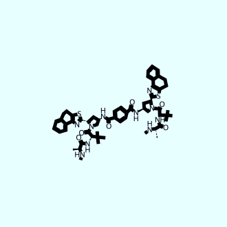 CN[C@@H](C)C(=O)N[C@H](C(=O)N1C[C@@H](NC(=O)c2ccc(C(=O)N[C@H]3C[C@@H](c4nc5c(s4)CCc4ccccc4-5)N(C(=O)[C@@H](NC(=O)[C@H](C)NC)C(C)(C)C)C3)cc2)C[C@H]1c1nc2c(s1)CCc1ccccc1-2)C(C)(C)C